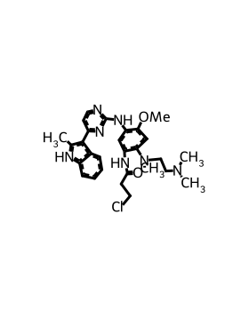 COc1cc(N(C)CCN(C)C)c(NC(=O)CCCl)cc1Nc1nccc(-c2c(C)[nH]c3ccccc23)n1